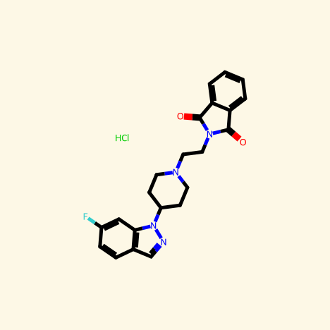 Cl.O=C1c2ccccc2C(=O)N1CCN1CCC(n2ncc3ccc(F)cc32)CC1